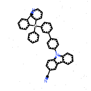 N#Cc1ccc2c(c1)c1ccccc1n2-c1ccc(-c2cccc([Si](c3ccccc3)(c3ccccc3)c3ccccc3C#N)c2)cc1